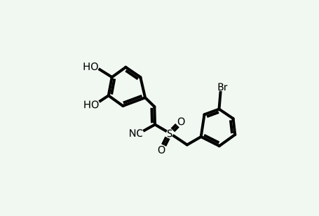 N#C/C(=C\c1ccc(O)c(O)c1)S(=O)(=O)Cc1cccc(Br)c1